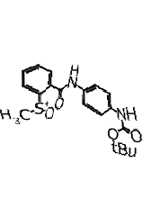 C[S+]([O-])c1ccccc1C(=O)Nc1ccc(NC(=O)OC(C)(C)C)cc1